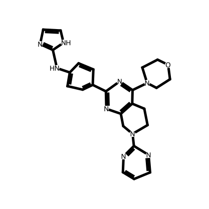 c1cnc(N2CCc3c(nc(-c4ccc(Nc5ncc[nH]5)cc4)nc3N3CCOCC3)C2)nc1